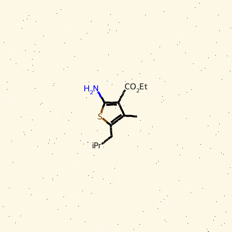 CCOC(=O)c1c(N)sc(CC(C)C)c1C